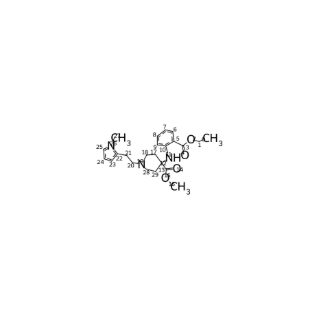 CCOC(=O)c1ccccc1NC1(C(=O)OC)CCN(CCc2cccn2C)CC1